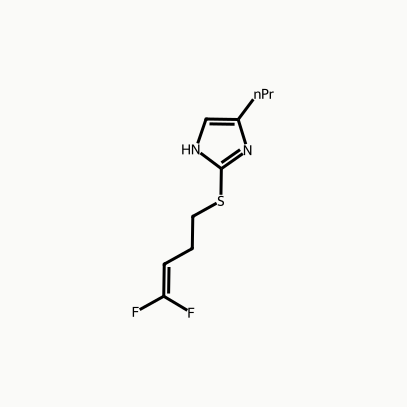 CCCc1c[nH]c(SCCC=C(F)F)n1